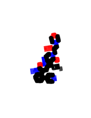 Cc1c(C=C2C(=O)Nc3cccc(-c4ccncc4)c32)[nH]c2c1C(=O)N(CC(O)CN1CCOCC1)CC2